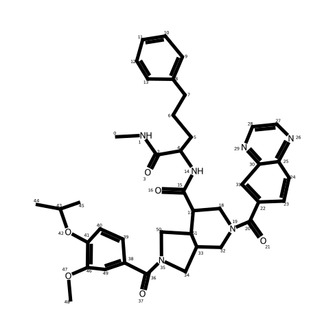 CNC(=O)C(CCCc1ccccc1)NC(=O)C1CN(C(=O)c2ccc3nccnc3c2)CC2CN(C(=O)c3ccc(OC(C)C)c(OC)c3)CC21